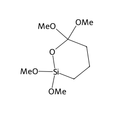 COC1(OC)CCC[Si](OC)(OC)O1